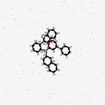 c1ccc(-c2cccc(N(c3ccc4ccccc4c3)c3ccccc3-c3cc4ccccc4o3)c2)cc1